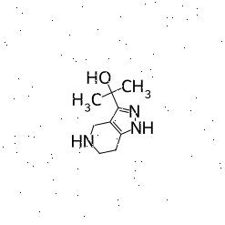 CC(C)(O)c1n[nH]c2c1CNCC2